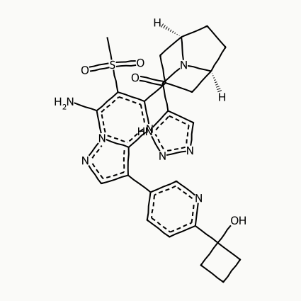 CS(=O)(=O)c1c(C2C[C@H]3CC[C@@H](C2)N3C(=O)c2cnn[nH]2)nc2c(-c3ccc(C4(O)CCC4)nc3)cnn2c1N